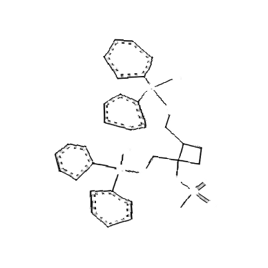 CC(C)(C)[Si](OCC1CCC1(CO[Si](c1ccccc1)(c1ccccc1)C(C)(C)C)OS(C)(=O)=O)(c1ccccc1)c1ccccc1